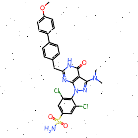 COc1ccc(-c2ccc(Cc3nc4c(c(N(C)C)nn4-c4c(Cl)cc(S(N)(=O)=O)cc4Cl)c(=O)[nH]3)cc2)cc1